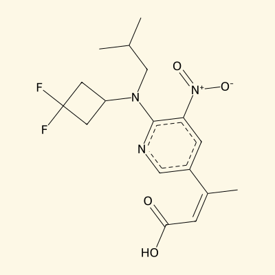 C/C(=C/C(=O)O)c1cnc(N(CC(C)C)C2CC(F)(F)C2)c([N+](=O)[O-])c1